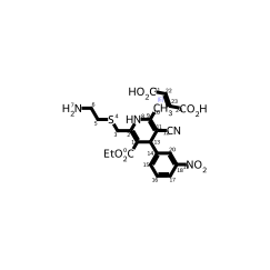 CCOC(=O)C1=C(CSCCN)NC(C)=C(C#N)C1c1cccc([N+](=O)[O-])c1.O=C(O)/C=C/C(=O)O